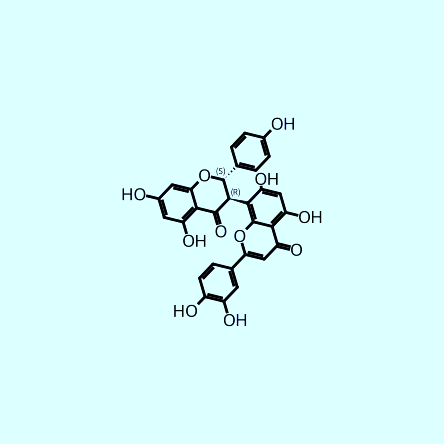 O=C1c2c(O)cc(O)cc2O[C@H](c2ccc(O)cc2)[C@H]1c1c(O)cc(O)c2c(=O)cc(-c3ccc(O)c(O)c3)oc12